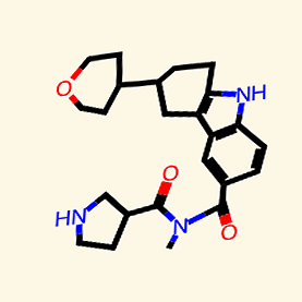 CN(C(=O)c1ccc2[nH]c3c(c2c1)CC(C1CCOCC1)CC3)C(=O)C1CCNC1